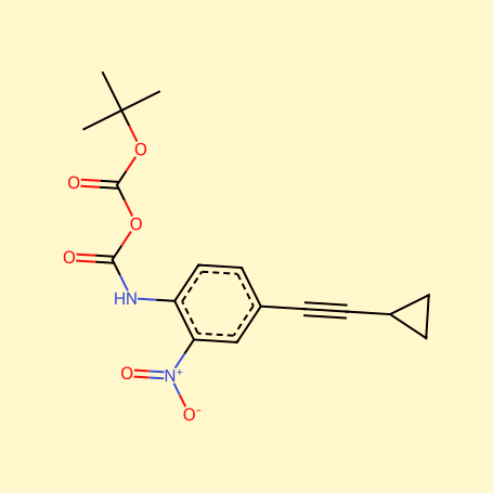 CC(C)(C)OC(=O)OC(=O)Nc1ccc(C#CC2CC2)cc1[N+](=O)[O-]